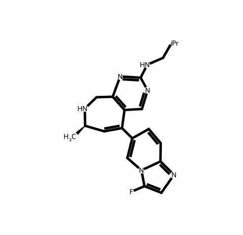 CC(C)CNc1ncc2c(n1)CN[C@H](C)C=C2c1ccc2ncc(F)n2c1